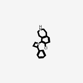 Clc1ccc2c(c1N1CCC1c1ccccc1)CCNCC2